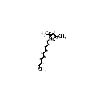 CCCCCCCCCCn1nc(C)cc1C